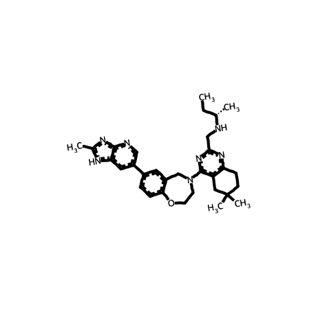 CC[C@H](C)NCc1nc2c(c(N3CCOc4ccc(-c5cnc6nc(C)[nH]c6c5)cc4C3)n1)CC(C)(C)CC2